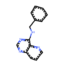 c1ccc(CNc2ncnc3cccnc23)cc1